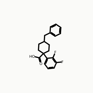 O=C(O)C1(c2cccc(F)c2F)CCC(Cc2ccccc2)CC1